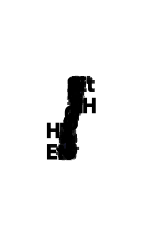 CC[n+]1ccsc1/N=N/c1ccc(NCCOCCOCCNc2ccc(/N=N/c3scc[n+]3CC)cc2)cc1